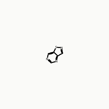 c1ncc2sncc2n1